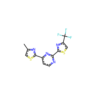 Cc1csc(-c2c[c]nc(-c3nc(C(F)(F)F)cs3)n2)n1